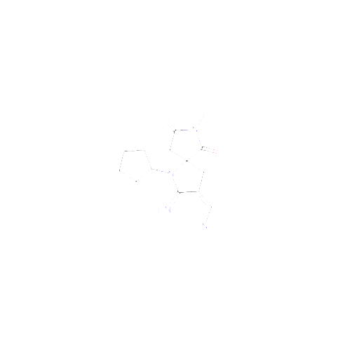 CN1C(=O)CC2(C/C(=C/N)C(=N)N2C2CCCC2)C1=O